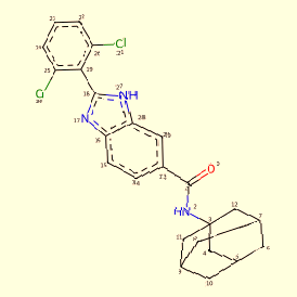 O=C(NC12CC3CC(CC(C3)C1)C2)c1ccc2nc(-c3c(Cl)cccc3Cl)[nH]c2c1